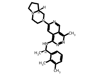 Cc1cccc([C@@H](C)Nc2nnc(C)c3cnc(N4CCN5CCC[C@@H]5C4)cc23)c1C